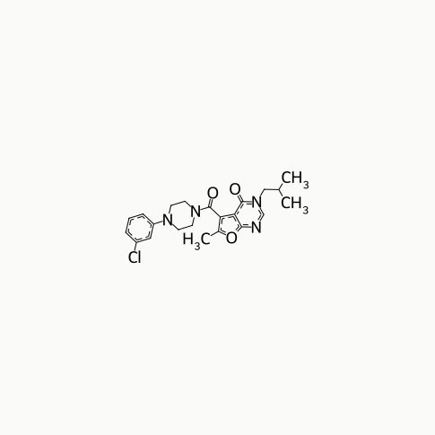 Cc1oc2ncn(CC(C)C)c(=O)c2c1C(=O)N1CCN(c2cccc(Cl)c2)CC1